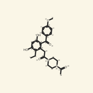 CCc1c(O)cc(O)c(C(=O)c2ccc(OC)cc2)c1CC(=O)N1CCN(C(C)=O)CC1